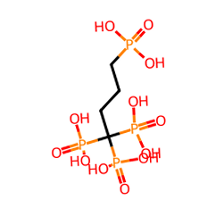 O=P(O)(O)CCCC(P(=O)(O)O)(P(=O)(O)O)P(=O)(O)O